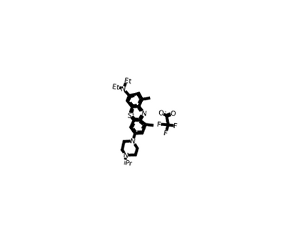 CCN(CC)c1cc(C)c2nc3c(C)cc(N4CCN(C(C)C)CC4)cc3[s+]c2c1.O=C([O-])C(F)(F)F